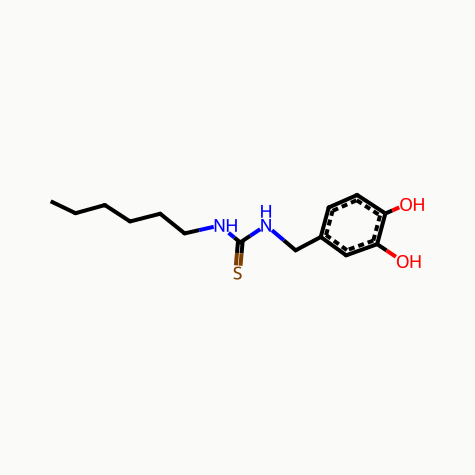 CCCCCCNC(=S)NCc1ccc(O)c(O)c1